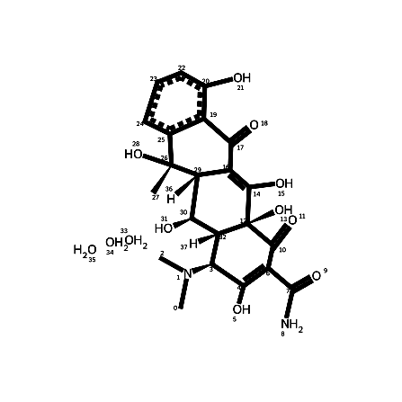 CN(C)[C@@H]1C(O)=C(C(N)=O)C(=O)[C@@]2(O)C(O)=C3C(=O)c4c(O)cccc4[C@@](C)(O)[C@H]3[C@H](O)[C@@H]12.O.O.O